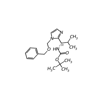 CC(C)[C@H](NC(=O)OC(C)(C)C)c1nccn1COCc1ccccc1